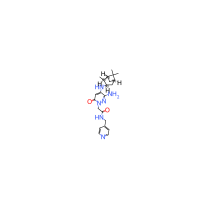 C[C@H]1[C@H]2C[C@H](C[C@H]1Nc1cc(=O)n(CC(=O)NCc3ccncc3)nc1N)C2(C)C